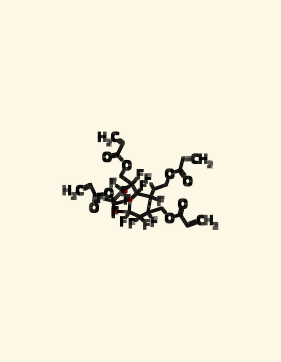 C=CC(=O)OCC(F)C1(F)C(F)(COC(=O)C=C)C(F)(F)C(F)(F)C(F)(COC(=O)C=C)C1(F)C(F)(COC(=O)C=C)C(F)(F)C(F)F